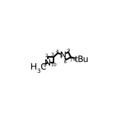 CN1CC(CN2CC(C(C)(C)C)C2)C1